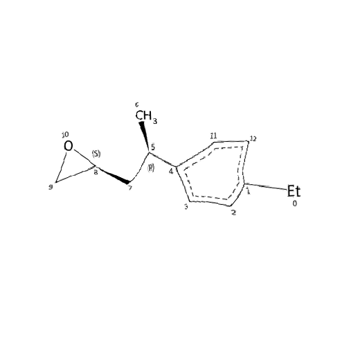 CCc1ccc([C@H](C)C[C@H]2CO2)cc1